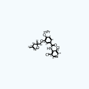 CCCOc1ccc(C(=O)Nc2c(Cl)cncc2Cl)cc1OCC1(C)CC(C)=NO1